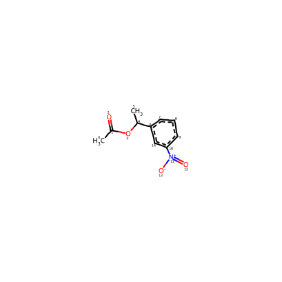 CC(=O)OC(C)c1[c]ccc([N+](=O)[O-])c1